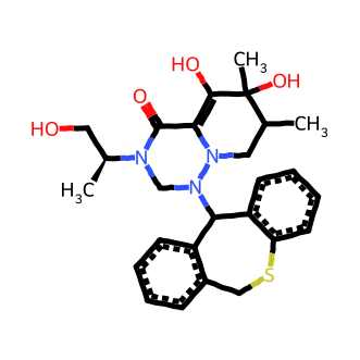 CC1CN2C(=C(O)C1(C)O)C(=O)N([C@@H](C)CO)CN2C1c2ccccc2CSc2ccccc21